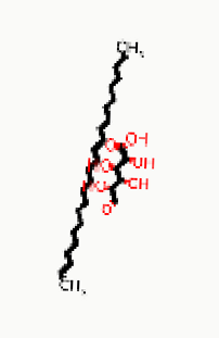 CCCCCCCCCCCCCCCCCCCCCCCC.O=CC(O)C(O)C(O)C(O)C(=O)O